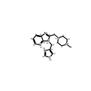 CN1CCN(Cc2nc3cccnc3n2Cc2cscn2)CC1